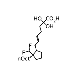 CCCCCCCC[C@]1([C](F)F)CCC[C@@H]1CC=CCCC(O)(O)C(=O)O